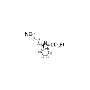 CCOC(=O)c1nn(CCCCC#N)c2ccccc12